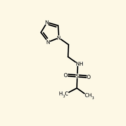 CC(C)S(=O)(=O)NCCn1cncn1